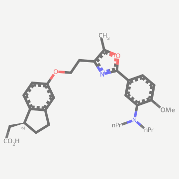 CCCN(CCC)c1cc(-c2nc(CCOc3ccc4c(c3)CC[C@H]4CC(=O)O)c(C)o2)ccc1OC